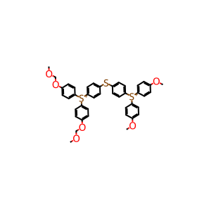 COCOc1ccc([S+](c2ccc(OCOC)cc2)c2ccc(Sc3ccc([S+](c4ccc(OC)cc4)c4ccc(OC)cc4)cc3)cc2)cc1